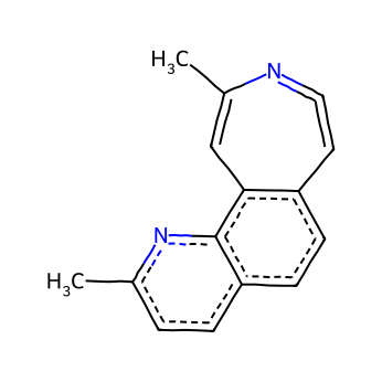 CC1=Cc2c(ccc3ccc(C)nc23)C=C=N1